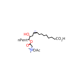 CCCCCC(OC(=O)C[N+](C)(C)OC(C)=O)C(O)C/C=C\CCCCCCCC(=O)O